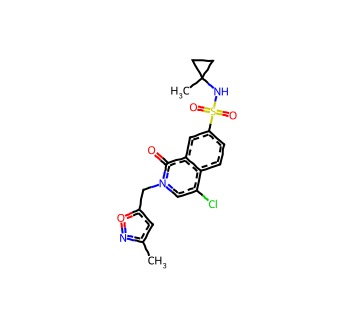 Cc1cc(Cn2cc(Cl)c3ccc(S(=O)(=O)NC4(C)CC4)cc3c2=O)on1